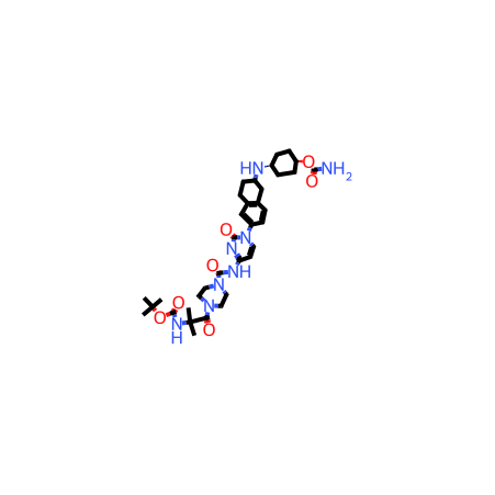 CC(C)(C)OC(=O)NC(C)(C)C(=O)N1CCN(C(=O)Nc2ccn(-c3ccc4c(c3)CCC(N[C@H]3CC[C@H](OC(N)=O)CC3)C4)c(=O)n2)CC1